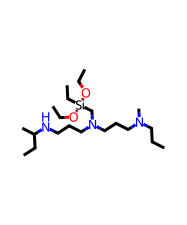 CCCN(C)CCCN(CCCNC(C)CC)C[Si](CC)(OCC)OCC